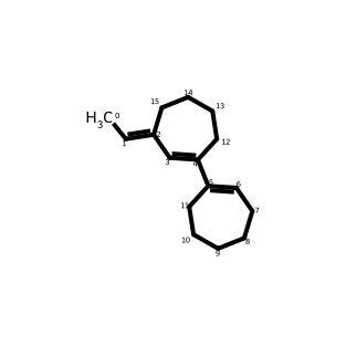 CC=C1C=C(C2=CCCCCC2)CCCC1